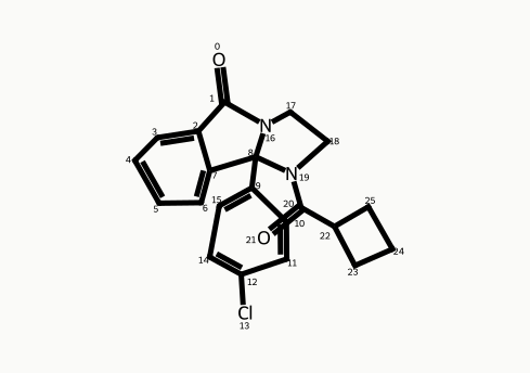 O=C1c2ccccc2C2(c3ccc(Cl)cc3)N1CCN2C(=O)C1CCC1